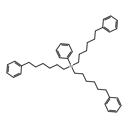 c1ccc(CCCCC[CH2][Sn]([CH2]CCCCCc2ccccc2)([CH2]CCCCCc2ccccc2)[c]2ccccc2)cc1